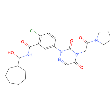 O=C(NC(O)C1CCCCCC1)c1cc(-n2ncc(=O)n(CC(=O)N3CCCC3)c2=O)ccc1Cl